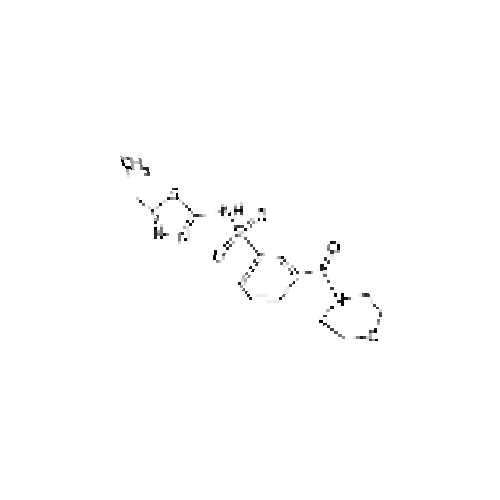 CCc1nnc(NS(=O)(=O)c2cccc(C(=O)N3CCOCC3)c2)s1